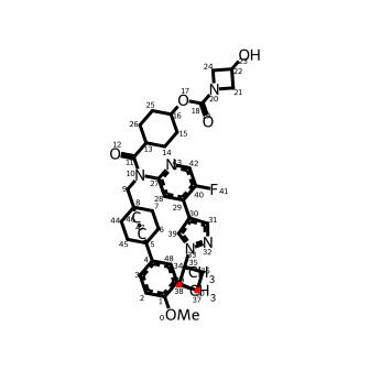 COc1ccc(C23CCC(CN(C(=O)C4CCC(OC(=O)N5CC(O)C5)CC4)c4cc(-c5cnn(C6(C)CCC6)c5)c(F)cn4)(CC2)CC3)cc1C